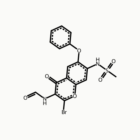 CS(=O)(=O)Nc1cc2oc(Br)c(NC=O)c(=O)c2cc1Oc1ccccc1